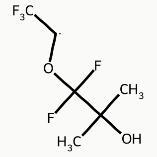 CC(C)(O)C(F)(F)O[CH]C(F)(F)F